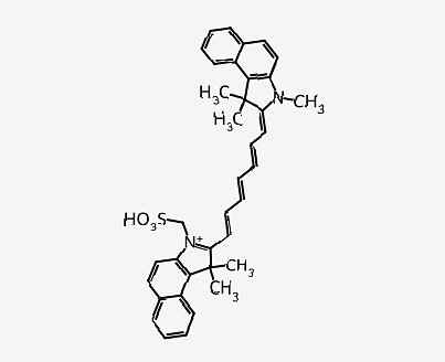 CN1/C(=C/C=C/C=C/C=C/C2=[N+](CS(=O)(=O)O)c3ccc4ccccc4c3C2(C)C)C(C)(C)c2c1ccc1ccccc21